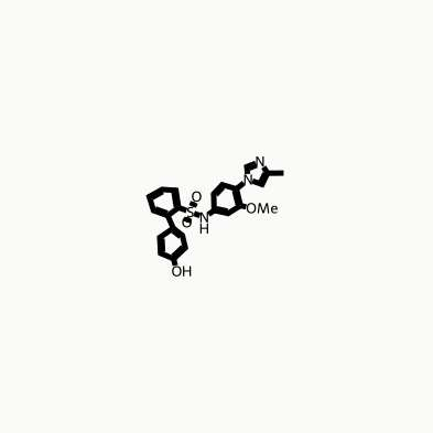 COc1cc(NS(=O)(=O)c2ccccc2-c2ccc(O)cc2)ccc1-n1cnc(C)c1